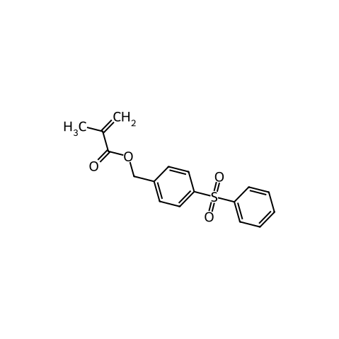 C=C(C)C(=O)OCc1ccc(S(=O)(=O)c2ccccc2)cc1